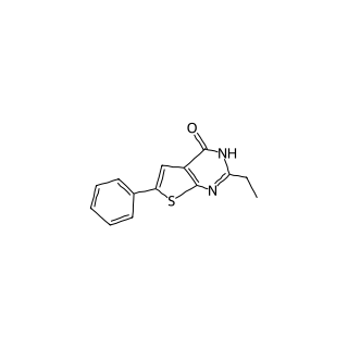 CCc1nc2sc(-c3ccccc3)cc2c(=O)[nH]1